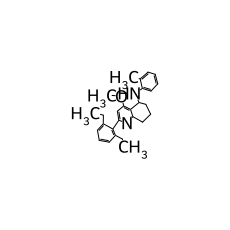 CCc1cccc(CC)c1-c1cc(OC)c2c(n1)CCCC2Nc1ccccc1C